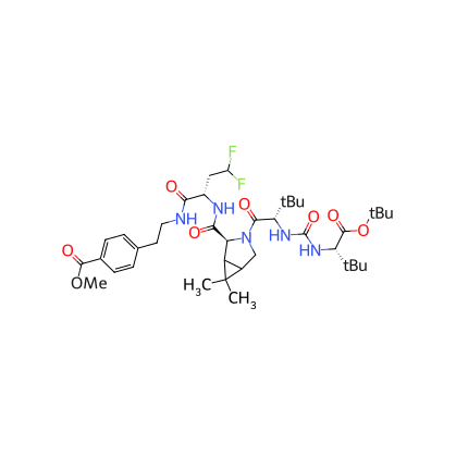 COC(=O)c1ccc(CCNC(=O)[C@H](CC(F)F)NC(=O)[C@@H]2C3C(CN2C(=O)[C@@H](NC(=O)N[C@H](C(=O)OC(C)(C)C)C(C)(C)C)C(C)(C)C)C3(C)C)cc1